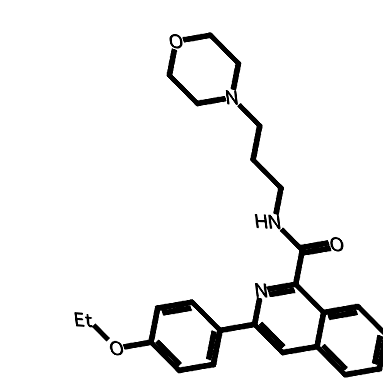 CCOc1ccc(-c2cc3ccccc3c(C(=O)NCCCN3CCOCC3)n2)cc1